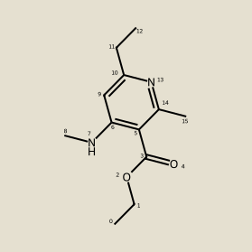 CCOC(=O)c1c(NC)cc(CC)nc1C